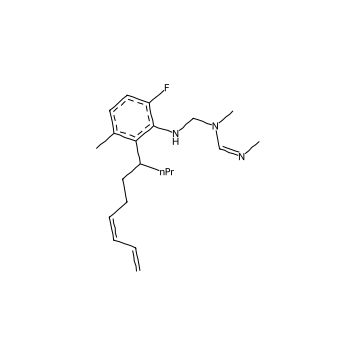 C=C/C=C\CCC(CCC)c1c(C)ccc(F)c1NCN(C)/C=N\C